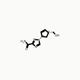 NC(=O)c1ncn([C@@H]2C=C[C@H](CO)C2)n1